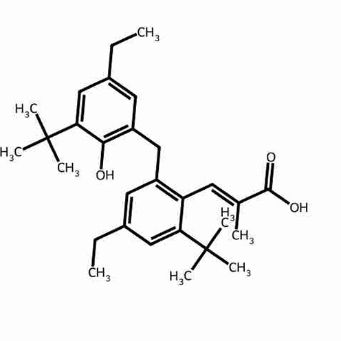 CCc1cc(Cc2cc(CC)cc(C(C)(C)C)c2C=C(C)C(=O)O)c(O)c(C(C)(C)C)c1